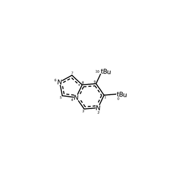 CC(C)(C)c1ncn2cncc2c1C(C)(C)C